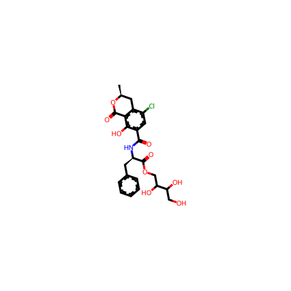 C[C@H]1Cc2c(Cl)cc(C(=O)N[C@H](Cc3ccccc3)C(=O)OCC(O)C(O)CO)c(O)c2C(=O)O1